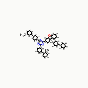 Cc1cccc(-c2ccc(-c3nc(-c4cccc(-c5ccccc5C#N)c4)nc(-c4ccc5c(c4)oc4cccc(-c6cccc(-c7ccccc7)c6)c45)n3)cc2)c1